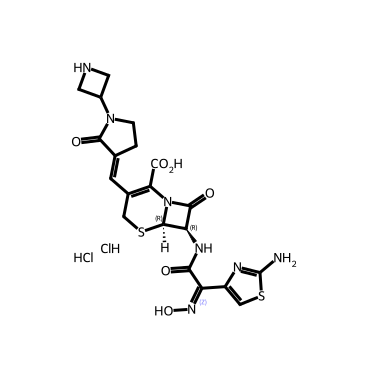 Cl.Cl.Nc1nc(/C(=N/O)C(=O)N[C@@H]2C(=O)N3C(C(=O)O)=C(C=C4CCN(C5CNC5)C4=O)CS[C@H]23)cs1